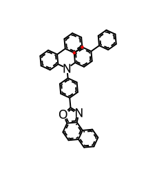 c1ccc(-c2ccc(N(c3ccc(-c4nc5c(ccc6ccccc65)o4)cc3)c3ccccc3-c3ccccc3)cc2)cc1